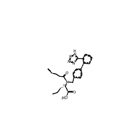 CCCCC(=O)N(Cc1ccc(-c2ccccc2-c2nnn[nH]2)cc1)[C@@H](CCC)C(=O)O